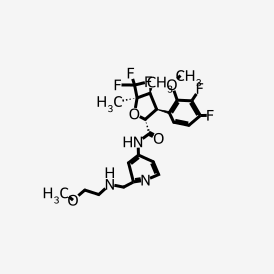 COCCNCc1cc(NC(=O)[C@@H]2O[C@@](C)(C(F)(F)F)[C@@H](C)[C@H]2c2ccc(F)c(F)c2OC)ccn1